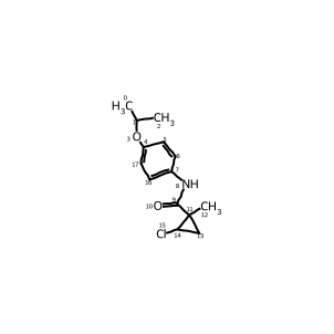 CC(C)Oc1ccc(NC(=O)C2(C)CC2Cl)cc1